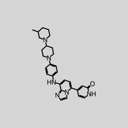 CC1CCCN(C2CCN(c3ccc(Nc4ccc(-c5cc[nH]c(=O)c5)n5ccnc45)cc3)CC2)C1